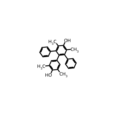 Cc1cc(-c2c(-c3ccccc3)c(C)c(O)c(C)c2-c2ccccc2)cc(C)c1O